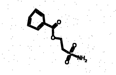 NS(=O)(=O)CCOC(=O)c1ccccc1